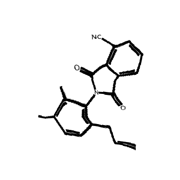 C=CCc1ccc(C)c(C)c1N1C(=O)c2cccc(C#N)c2C1=O